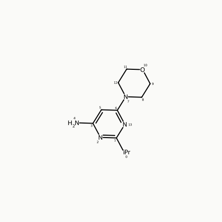 CC(C)c1nc(N)cc(N2CCOCC2)n1